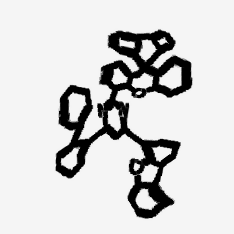 c1ccc(-c2ccccc2-c2cc(-c3cccc4c3oc3ccccc34)nc(-c3cccc4c3Oc3ccccc3C43c4ccccc4-c4ccccc43)n2)cc1